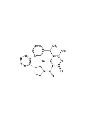 CCCCc1nc(=O)c(C(=O)N2CC[C@H](c3ccccc3)C2)c(O)n1C(C)c1cccnc1